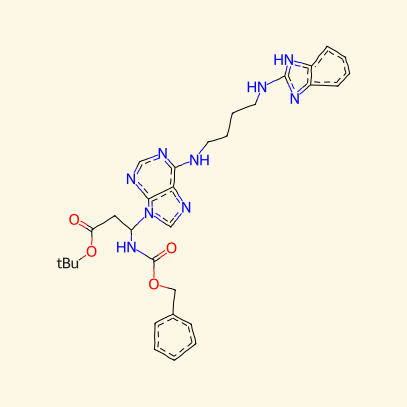 CC(C)(C)OC(=O)CC(NC(=O)OCc1ccccc1)n1cnc2c(NCCCCNc3nc4ccccc4[nH]3)ncnc21